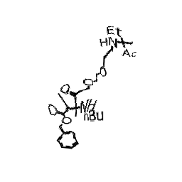 CCCCNC(C)(C(=O)COCCOCCNC(C)(CC)C(C)=O)C(C)C(=O)OCc1ccccc1